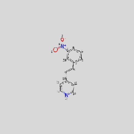 O=[N+]([O-])c1cccc(/C=C/c2ccncc2)c1